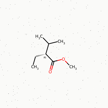 CC[C@@H](C(=O)OC)C(C)C